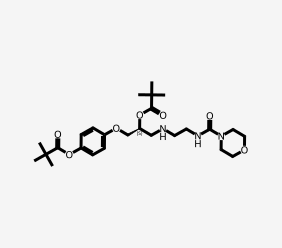 CC(C)(C)C(=O)Oc1ccc(OC[C@H](CNCCNC(=O)N2CCOCC2)OC(=O)C(C)(C)C)cc1